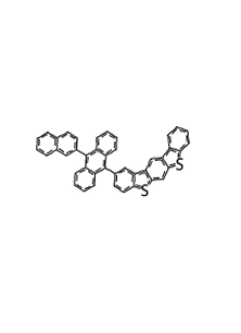 c1ccc2cc(-c3c4ccccc4c(-c4ccc5sc6cc7sc8ccccc8c7cc6c5c4)c4ccccc34)ccc2c1